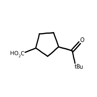 CC(C)(C)C(=O)C1CCC(C(=O)O)C1